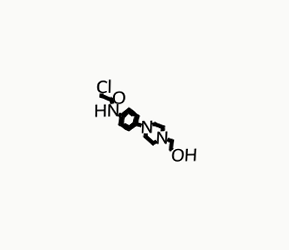 O=C(CCl)Nc1ccc(N2CCN(CCO)CC2)cc1